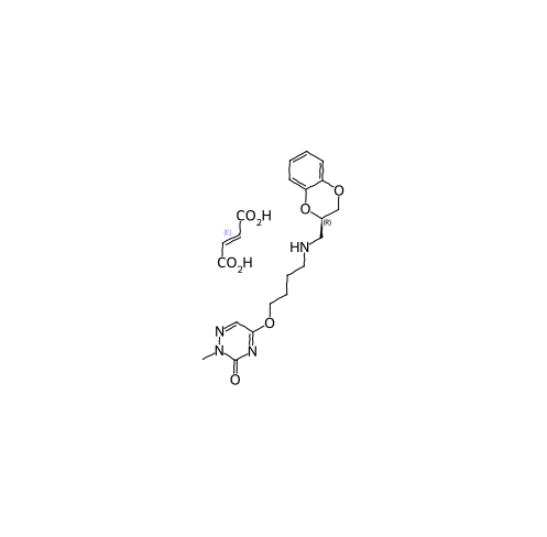 Cn1ncc(OCCCCNC[C@@H]2COc3ccccc3O2)nc1=O.O=C(O)/C=C/C(=O)O